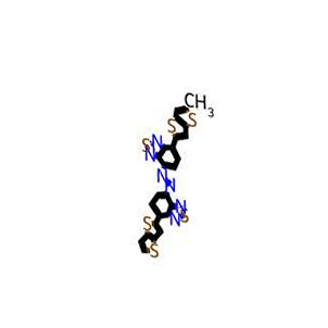 Cc1cc2sc(-c3ccc(/N=N/c4ccc(-c5cc6sccc6s5)c5nsnc45)c4nsnc34)cc2s1